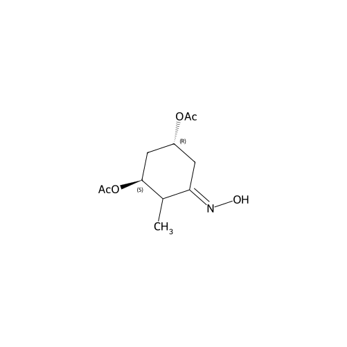 CC(=O)O[C@@H]1CC(=NO)C(C)[C@@H](OC(C)=O)C1